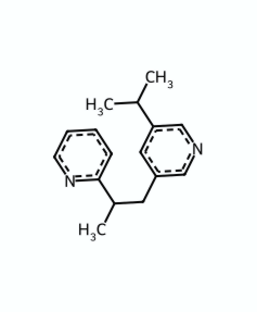 CC(C)c1cncc(CC(C)c2ccccn2)c1